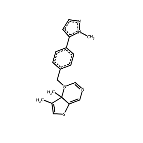 CC1=CSC2=CN=CN(Cc3ccc(-c4ccnn4C)cc3)C12C